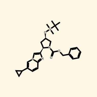 CC(C)(C)[Si](C)(C)O[C@@H]1C[C@H](c2cn3cc(C4CC4)ccc3n2)N(C(=O)OCc2ccccc2)C1